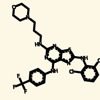 FC(F)(F)c1ccc(Nc2nc(NCCCN3CCOCC3)nc3sc(Nc4c(Cl)cccc4Cl)nc23)cc1